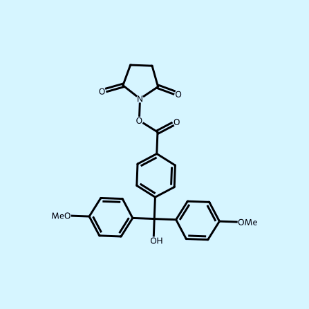 COc1ccc(C(O)(c2ccc(OC)cc2)c2ccc(C(=O)ON3C(=O)CCC3=O)cc2)cc1